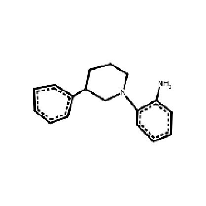 Nc1ccccc1N1CCCC(c2ccccc2)C1